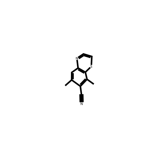 Cc1cc2c(c(C)c1C#N)SC=C=N2